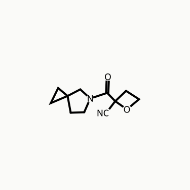 N#CC1(C(=O)N2CCC3(CC3)C2)CCO1